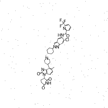 Cc1ccc2c(c1C1CCN(C[C@H]3CC[C@H](n4cc5cc(NC(=O)c6cccc(C(F)(F)F)n6)c(Cl)cc5n4)CC3)CC1)n(C)c(=O)n2C1CCC(=O)NC1=O